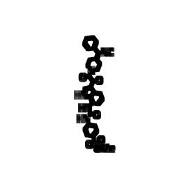 [C-]#[N+]C(=C1CCN(C(=O)C(=O)c2c[nH]c3c(NC(=O)Nc4ccc(S(=O)(=O)OC)cc4)cccc23)CC1)c1ccccc1